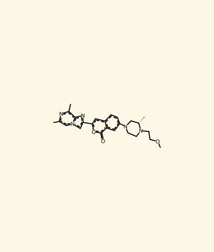 COCCN1CCN(c2ccc3cc(-c4cn5cc(C)nc(C)c5n4)oc(=O)c3c2)C[C@@H]1C